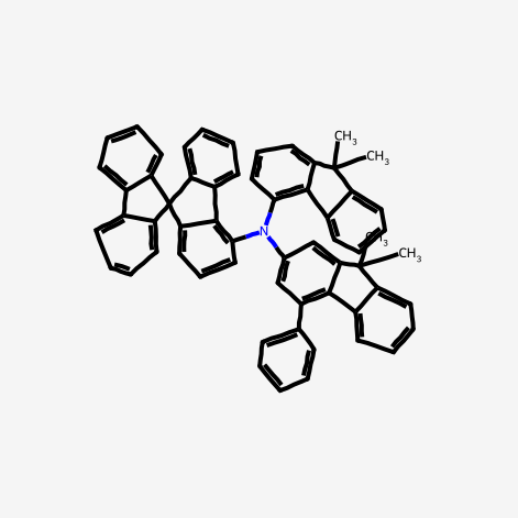 CC1(C)c2ccccc2-c2c(-c3ccccc3)cc(N(c3cccc4c3-c3ccccc3C4(C)C)c3cccc4c3-c3ccccc3C43c4ccccc4-c4ccccc43)cc21